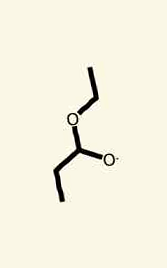 CCOC([O])CC